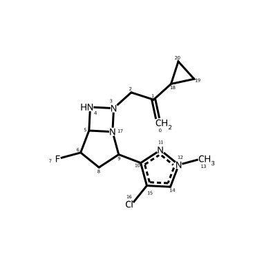 C=C(CN1NC2C(F)CC(c3nn(C)cc3Cl)N21)C1CC1